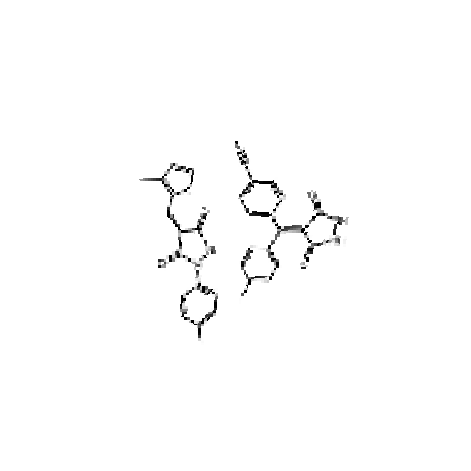 Cc1ccsc1C=C1C(=O)NN(c2ccc(I)cc2)C1=O.N#Cc1ccc(C(=C2C(=O)NNC2=O)c2ccc(I)cc2)cc1